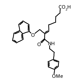 COc1ccc(CCNC(=O)/C(=C/CCCCC(=O)O)COc2cccc3ccccc23)cc1